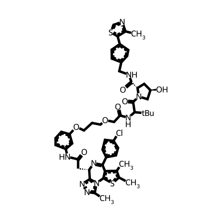 Cc1ncsc1-c1ccc(CNC(=O)[C@@H]2C[C@@H](O)CN2C(=O)C(NC(=O)COCCCOc2cccc(NC(=O)C[C@@H]3N=C(c4ccc(Cl)cc4)c4c(sc(C)c4C)-n4c(C)nnc43)c2)C(C)(C)C)cc1